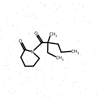 CCCC(C)(CC)C(=O)N1CCCCC1=O